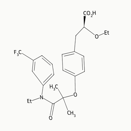 CCO[C@@H](Cc1ccc(OC(C)(C)C(=O)N(CC)c2cccc(C(F)(F)F)c2)cc1)C(=O)O